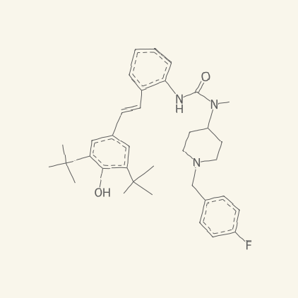 CN(C(=O)Nc1ccccc1C=Cc1cc(C(C)(C)C)c(O)c(C(C)(C)C)c1)C1CCN(Cc2ccc(F)cc2)CC1